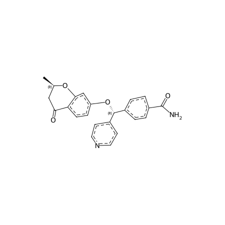 C[C@@H]1CC(=O)c2ccc(O[C@@H](c3ccncc3)c3ccc(C(N)=O)cc3)cc2O1